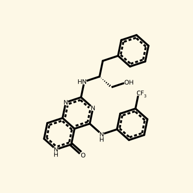 O=c1[nH]ccc2nc(N[C@@H](CO)Cc3ccccc3)nc(Nc3cccc(C(F)(F)F)c3)c12